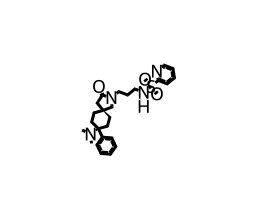 CN(C)[C@]1(c2ccccc2)CC[C@@]2(CC1)CC(=O)N(CCCNS(=O)(=O)c1ccccn1)C2